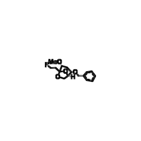 CO[C@@H]1C[C@H](OCc2ccccc2)[C@H]2COC1(CCF)O2